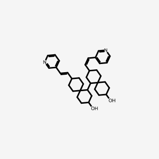 OC1CCC2(CC1)CCC(/C=C\c1cccnc1)CC2C1CC(O)CCC12CCC(/C=C/c1cccnc1)CC2